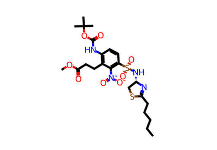 CCCCCC1=N[C@@H](NS(=O)(=O)c2ccc(NC(=O)OC(C)(C)C)c(CCC(=O)OC)c2[N+](=O)[O-])CS1